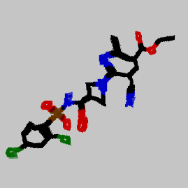 CCOC(=O)c1cc(C#N)c(N2CC(C(=O)NS(=O)(=O)c3ccc(Cl)cc3Cl)C2)nc1C